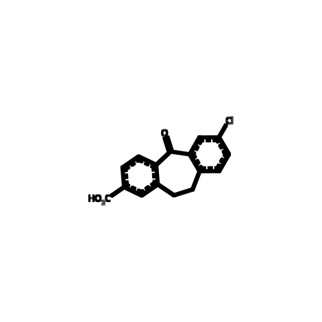 O=C(O)c1ccc2c(c1)CCc1ccc(Cl)cc1C2=O